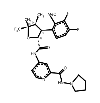 COc1c([C@H]2[C@H](C(=O)Nc3ccnc(C(=O)NN4CCCC4)c3)O[C@@](C)(C(F)(F)F)[C@H]2C)ccc(F)c1F